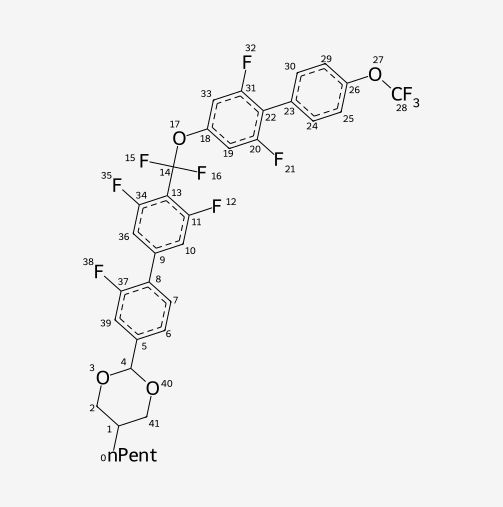 CCCCCC1COC(c2ccc(-c3cc(F)c(C(F)(F)Oc4cc(F)c(-c5ccc(OC(F)(F)F)cc5)c(F)c4)c(F)c3)c(F)c2)OC1